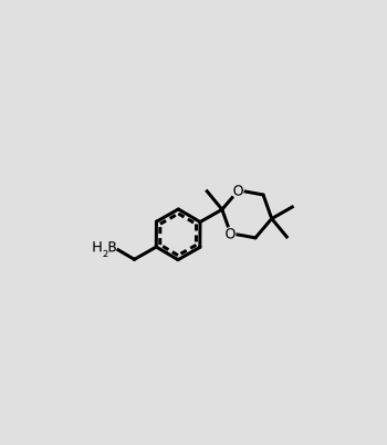 BCc1ccc(C2(C)OCC(C)(C)CO2)cc1